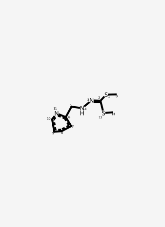 CSC(=NNCc1ccccn1)SC